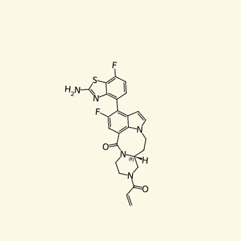 C=CC(=O)N1CCN2C(=O)c3cc(F)c(-c4ccc(F)c5sc(N)nc45)c4ccn(c34)CC[C@@H]2C1